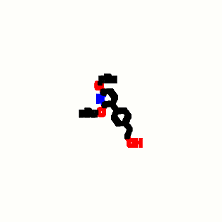 CCCCOc1ccc(-c2ccc(CCO)cc2)c(OCCCC)n1